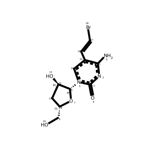 Nc1nc(=O)n([C@@H]2O[C@H](CO)C[C@H]2O)cc1C=CBr